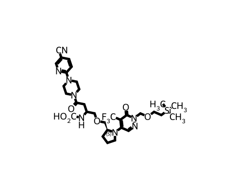 C[Si](C)(C)CCOCn1ncc(N2CCC[C@H]2COCC(CC(=O)N2CCN(c3ccc(C#N)cn3)CC2)NC(=O)O)c(C(F)(F)F)c1=O